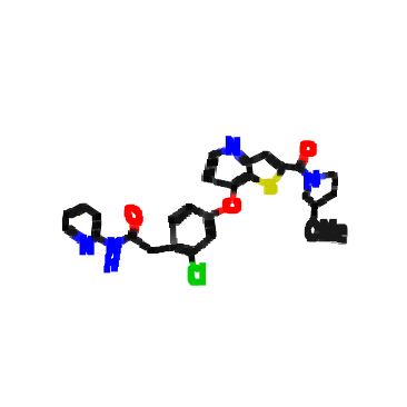 CO[C@@H]1CCN(C(=O)c2cc3nccc(Oc4ccc(CC(=O)Nc5ccccn5)c(Cl)c4)c3s2)C1